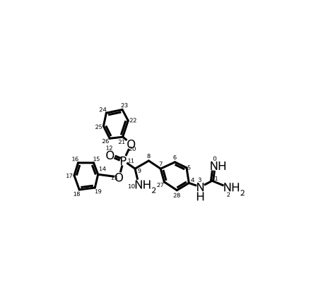 N=C(N)Nc1ccc(CC(N)P(=O)(Oc2ccccc2)Oc2ccccc2)cc1